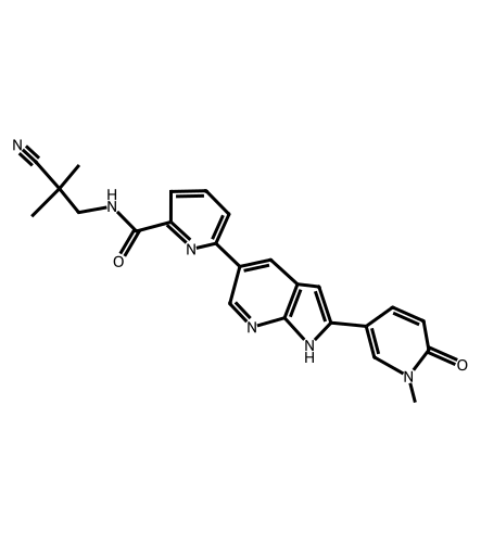 Cn1cc(-c2cc3cc(-c4cccc(C(=O)NCC(C)(C)C#N)n4)cnc3[nH]2)ccc1=O